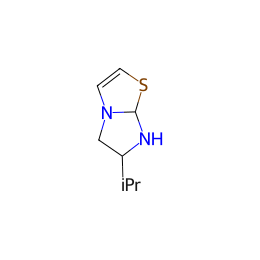 CC(C)C1CN2C=CSC2N1